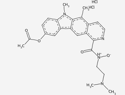 CC(=O)Oc1ccc2c(c1)c1cc3c(C(=O)[NH+]([O-])CCN(C)C)nccc3c(C)c1n2C.Cl.Cl